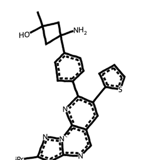 CC(C)c1cc2ncc3cc(-c4cccs4)c(-c4ccc(C5(N)CC(C)(O)C5)cc4)nc3n2n1